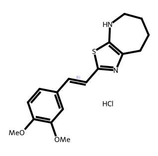 COc1ccc(/C=C/c2nc3c(s2)NCCCC3)cc1OC.Cl